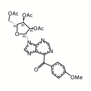 COc1ccc(C(=O)c2ncnc3c2ncn3[C@@H]2O[C@H](COC(C)=O)[C@@H](OC(C)=O)[C@H]2OC(C)=O)cc1